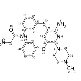 CN1CCN(c2nc(N)c(Sc3cccc(NC(=O)CN)c3)cc2Oc2ccccc2)CC1